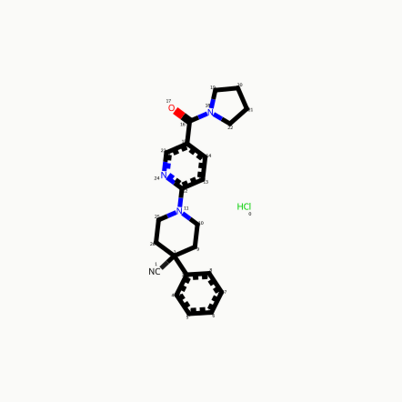 Cl.N#CC1(c2ccccc2)CCN(c2ccc(C(=O)N3CCCC3)cn2)CC1